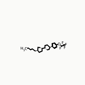 CCCCC[C@H]1CC[C@H]([C@H]2CC[C@H](c3ccc(OC(F)C(F)(F)F)cc3)CC2)CC1